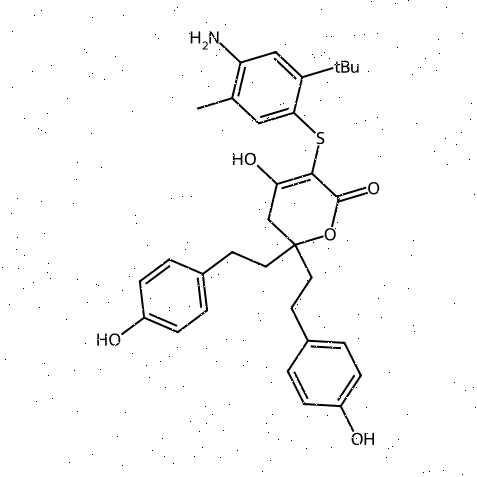 Cc1cc(SC2=C(O)CC(CCc3ccc(O)cc3)(CCc3ccc(O)cc3)OC2=O)c(C(C)(C)C)cc1N